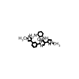 Cn1cc(-c2cccc(-c3ncc(-c4ccn(C)n4)c(N[C@@H]4CCC[C@@H](N)[C@@H]4O)n3)c2)cn1